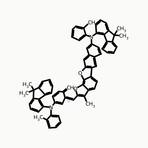 C=c1ccc(N(c2ccccc2C)c2cccc3c2-c2ccccc2C3(C)C)c/c1=C/c1oc2c(ccc3c4cc5ccc(N(c6ccccc6C)c6cccc7c6-c6ccccc6C7(C)C)cc5cc4oc32)c1C